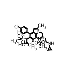 Cc1c([C@H](OC(C)(C)C)C(=O)O)c(-c2ccc(Cl)cc2)c2cc(C)n3c2c1N(S(C)(=O)=O)[C@@H](CCNC1CC1)C3